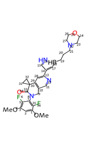 COc1cc(OC)c(F)c(N2Cc3cnc(/C(C=N)=C/BCCCN4CCOCC4)cc3C3(CC3)C2=O)c1F